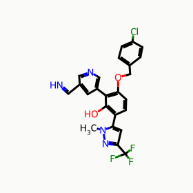 Cn1nc(C(F)(F)F)cc1-c1ccc(OCc2ccc(Cl)cc2)c(-c2cncc(C=N)c2)c1O